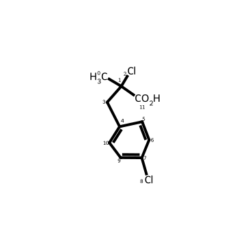 CC(Cl)(Cc1ccc(Cl)cc1)C(=O)O